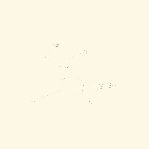 C#C.C#Cc1cccc(N)c1.O=[N+]([O-])c1ccccc1